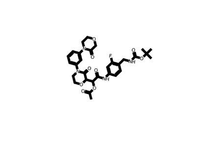 CC(=O)OC(C(=O)Nc1ccc(CNC(=O)OC(C)(C)C)c(F)c1)C1OCCN(c2cccc(N3CCOCC3=O)c2)C1=O